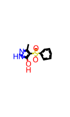 Cc1n[nH]c(O)c1S(=O)(=O)c1ccccc1